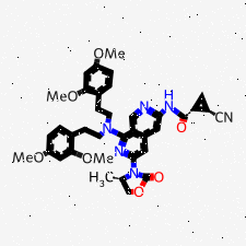 COc1ccc(CCN(CCc2ccc(OC)cc2OC)c2nc(N3C(=O)OC[C@@H]3C)cc3cc(NC(=O)[C@@H]4C[C@H]4C#N)ncc23)c(OC)c1